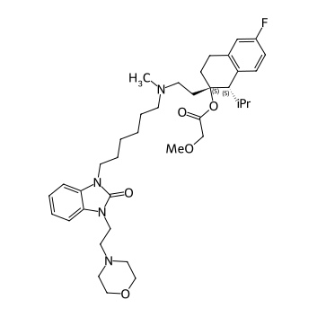 COCC(=O)O[C@]1(CCN(C)CCCCCCn2c(=O)n(CCN3CCOCC3)c3ccccc32)CCc2cc(F)ccc2[C@@H]1C(C)C